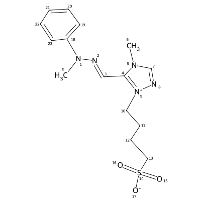 CN(/N=C/c1n(C)cn[n+]1CCCCS(=O)(=O)[O-])c1ccccc1